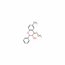 C=S=C1c2cc(C)ccc2OC(c2ccccc2)C1O